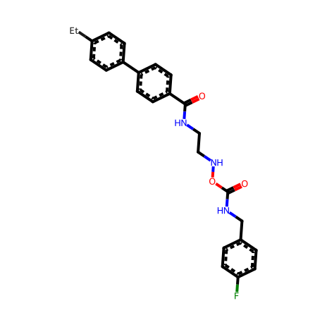 CCc1ccc(-c2ccc(C(=O)NCCNOC(=O)NCc3ccc(F)cc3)cc2)cc1